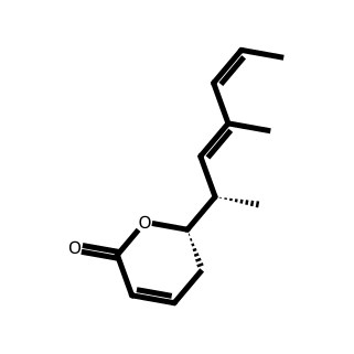 C/C=C\C(C)=C\[C@H](C)[C@@H]1CC=CC(=O)O1